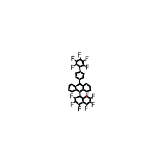 Fc1c(F)c(F)c(-c2ccc(-c3c4ccccc4c(-c4c(F)c(F)c(F)c5c(F)c(F)c(F)c(F)c45)c4ccccc34)cc2)c(F)c1F